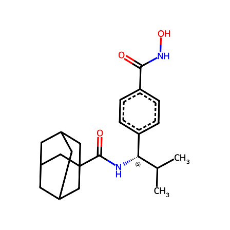 CC(C)[C@H](NC(=O)C12CC3CC(CC(C3)C1)C2)c1ccc(C(=O)NO)cc1